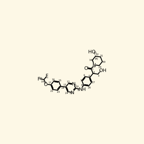 O=C(C(CO)c1ccc(Nc2ncc(-c3ccc(OC(F)F)cc3)cn2)cc1)N1CCC[C@@H](O)C1